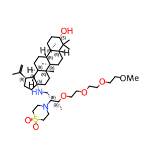 C=C(C)[C@@H]1CC[C@]2(NC[C@H]([C@@H](C)OCCOCCOCCOC)N3CCS(=O)(=O)CC3)CC[C@]3(C)[C@H](CC[C@@H]4[C@@]5(C)CC[C@H](O)C(C)(C)[C@@H]5CC[C@]43C)[C@@H]12